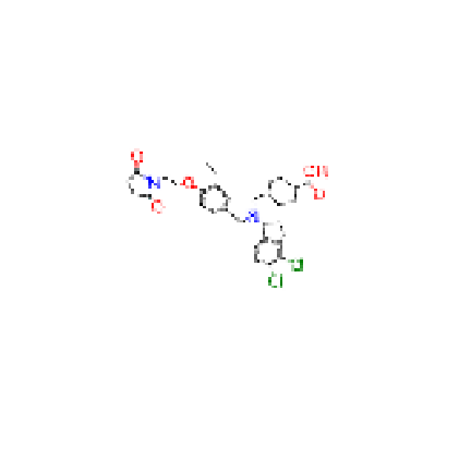 CCc1cc(CN(CC2CCC(C(=O)O)CC2)[C@H]2CCc3c2ccc(Cl)c3Cl)ccc1OCCN1C(=O)CCC1=O